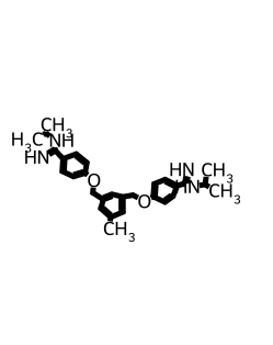 Cc1cc(COc2ccc(C(=N)NC(C)C)cc2)cc(COc2ccc(C(=N)NC(C)C)cc2)c1